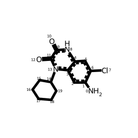 Nc1cc2c(cc1Cl)[nH]c(=O)c(=O)n2C1CCCCC1